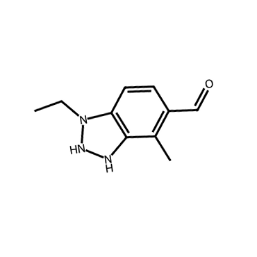 CCN1NNc2c1ccc(C=O)c2C